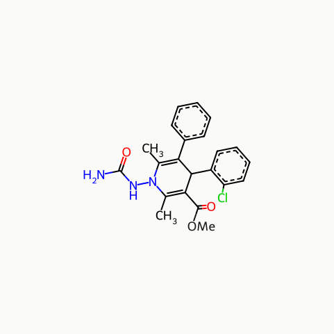 COC(=O)C1=C(C)N(NC(N)=O)C(C)=C(c2ccccc2)C1c1ccccc1Cl